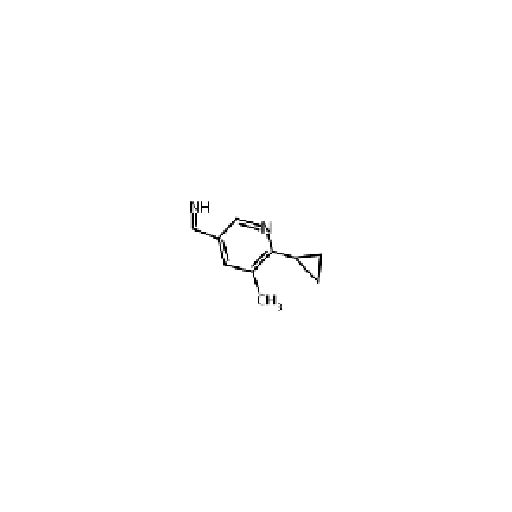 Cc1cc(C=N)cnc1C1CC1